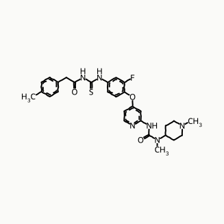 Cc1ccc(CC(=O)NC(=S)Nc2ccc(Oc3ccnc(NC(=O)N(C)C4CCN(C)CC4)c3)c(F)c2)cc1